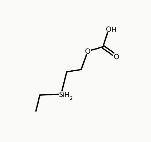 CC[SiH2]CCOC(=O)O